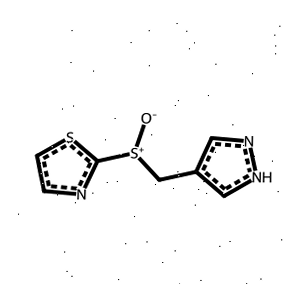 [O-][S+](Cc1cn[nH]c1)c1nccs1